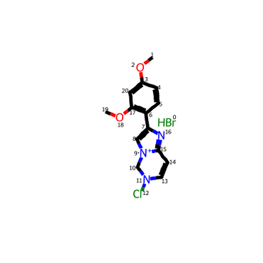 Br.COc1ccc(C2=C[N+]3CN(Cl)C=CC3=N2)c(OC)c1